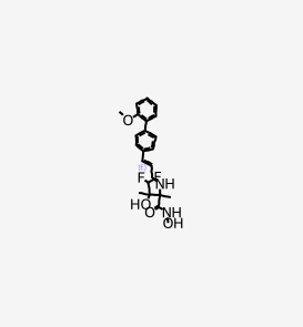 COc1ccccc1-c1ccc(/C=C/CNC(C)(C(=O)NO)C(C)(O)C(F)F)cc1